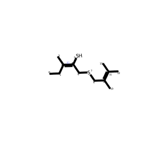 CC/C(C)=C(/S)CSCC(C)=C(C)C